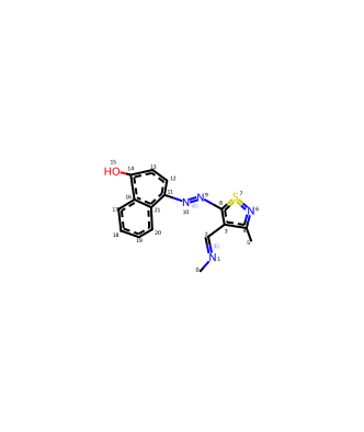 C/N=C/c1c(C)nsc1/N=N/c1ccc(O)c2ccccc12